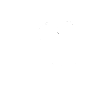 COc1ccc(C=Cc2nn(C(N)=O)c3ccc(C(=O)OCC4CC4)c(OC)c23)cc1OC